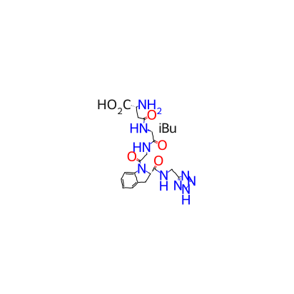 CC[C@H](C)[C@H](NC(=O)C[C@@H](N)C(=O)O)C(=O)NCC(=O)N1c2ccccc2C[C@H]1C(=O)NCc1nn[nH]n1